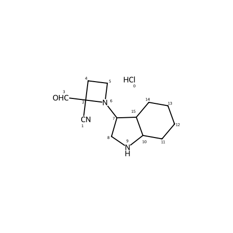 Cl.N#CC1(C=O)CCN1C1CNC2CCCCC21